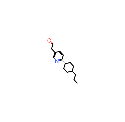 CCC[C@H]1CC[C@H](c2ccc(CC=O)cn2)CC1